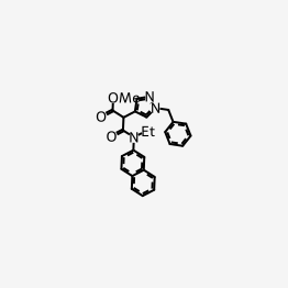 CCN(C(=O)C(C(=O)OC)c1cnn(Cc2ccccc2)c1)c1ccc2ccccc2c1